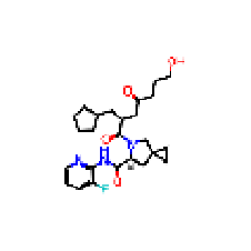 O=C(CCCO)CC(CC1CCCC1)C(=O)N1CC2(CC2)C[C@H]1C(=O)Nc1ncccc1F